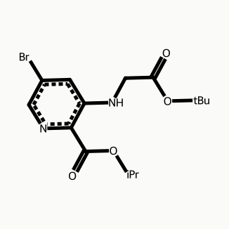 CC(C)OC(=O)c1ncc(Br)cc1NCC(=O)OC(C)(C)C